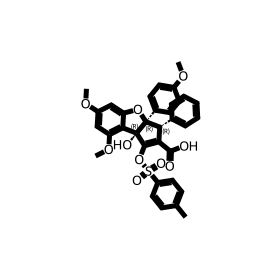 COc1ccc([C@@]23Oc4cc(OC)cc(OC)c4[C@]2(O)C(OS(=O)(=O)c2ccc(C)cc2)=C(C(=O)O)[C@H]3c2ccccc2)cc1